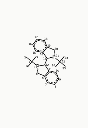 CC(C)(C)P1Cc2ccccc2C1C1c2ccccc2CP1C(C)(C)C